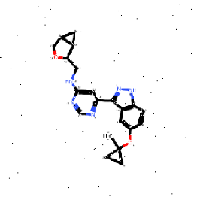 CC1(Oc2ccc3[nH]nc(-c4cc(NCC5OCC6CC65)ncn4)c3c2)CC1